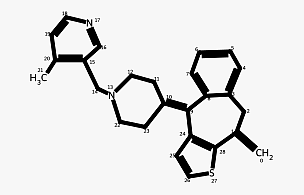 C=C1Cc2ccccc2C(=C2CCN(Cc3cnccc3C)CC2)c2ccsc21